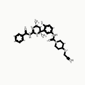 C#CCOC1CCN(C(=O)Nc2ccc(F)c([C@]3(C)C[C@@H](C(F)(F)F)N=C(NC(=O)c4ccccc4)O3)c2)CC1